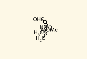 C=CCOc1cc(N[C@@H](Cc2ccc(C=O)cc2)C(=O)OC)nn1C